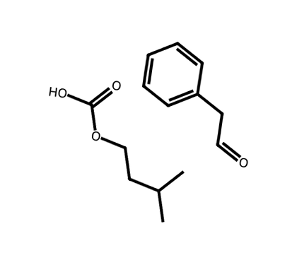 CC(C)CCOC(=O)O.O=CCc1ccccc1